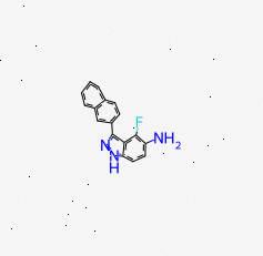 Nc1ccc2[nH]nc(-c3ccc4ccccc4c3)c2c1F